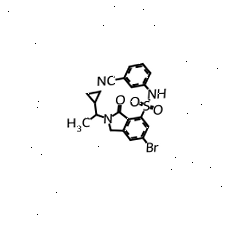 CC(C1CC1)N1Cc2cc(Br)cc(S(=O)(=O)Nc3cccc(C#N)c3)c2C1=O